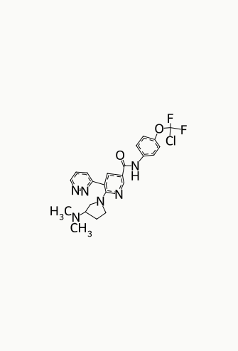 CN(C)C1CCN(c2ncc(C(=O)Nc3ccc(OC(F)(F)Cl)cc3)cc2-c2cccnn2)C1